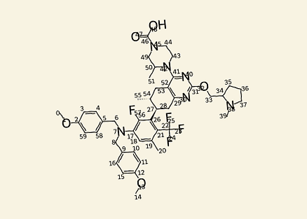 COc1ccc(CN(Cc2ccc(OC)cc2)c2cc(C)c(C(F)(F)F)c([C@@H]3Cc4nc(OCC5CCCN5C)nc(N5CCN(C(=O)O)CC5C)c4C[C@H]3C)c2F)cc1